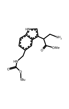 COC(=O)C(CN)c1c[nH]c2ccc(CNC(=O)OC(C)(C)C)cc12